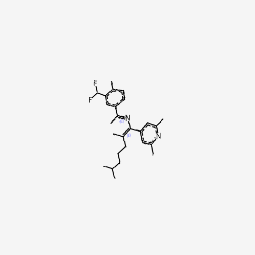 C/C(=N\C(=C(/C)CCCC(C)C)c1cc(C)nc(C)c1)c1ccc(C)c(C(F)F)c1